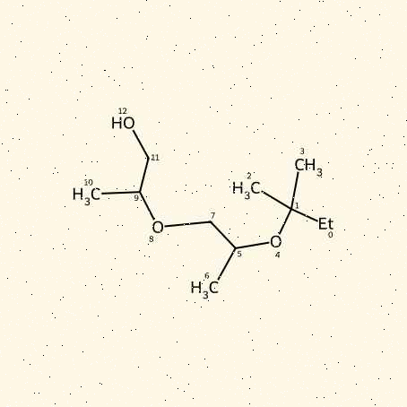 CCC(C)(C)OC(C)COC(C)CO